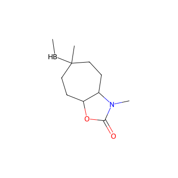 CBC1(C)CCC2OC(=O)N(C)C2CC1